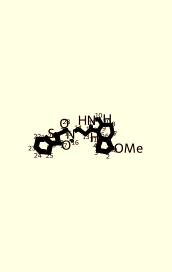 COc1cccc2c1CC[C@H]1CNC(CCN3COc4c(sc5ccccc45)C3=O)[C@@H]21